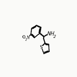 NC(c1cccc([N+](=O)[O-])c1)c1cccs1